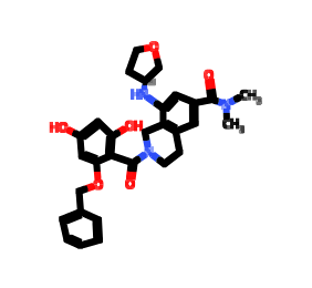 CN(C)C(=O)c1cc2c(c(N[C@H]3CCOC3)c1)CN(C(=O)c1c(O)cc(O)cc1OCc1ccccc1)CC2